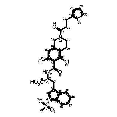 CS(=O)(=O)n1cc(C[C@H](NC(=O)c2c(Cl)cc3c(c2Cl)CCN(C(=O)CCc2ccco2)C3)C(=O)O)c2ccccc21